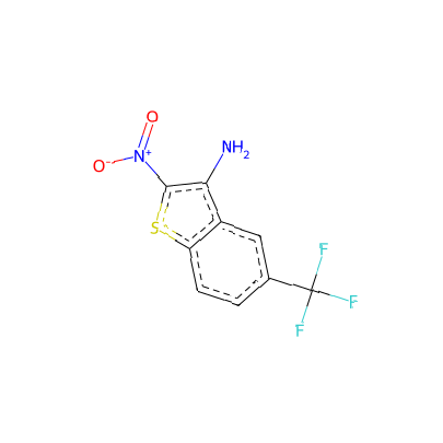 Nc1c([N+](=O)[O-])sc2ccc(C(F)(F)F)cc12